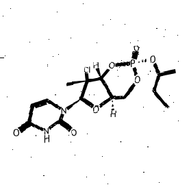 CCC(C)O[P@]1(=O)OC[C@H]2O[C@@H](n3ccc(=O)[nH]c3=O)[C@](C)(Cl)[C@@H]2O1